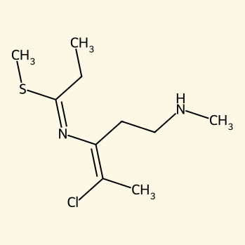 CC/C(=N\C(CCNC)=C(\C)Cl)SC